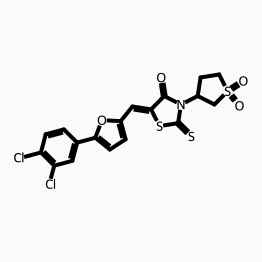 O=C1C(=Cc2ccc(-c3ccc(Cl)c(Cl)c3)o2)SC(=S)N1C1CCS(=O)(=O)C1